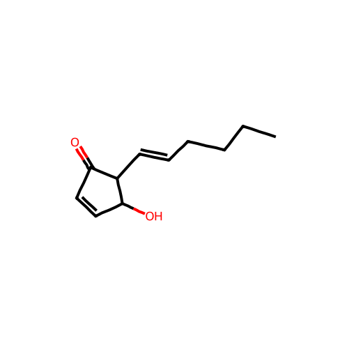 CCCCC=CC1C(=O)C=CC1O